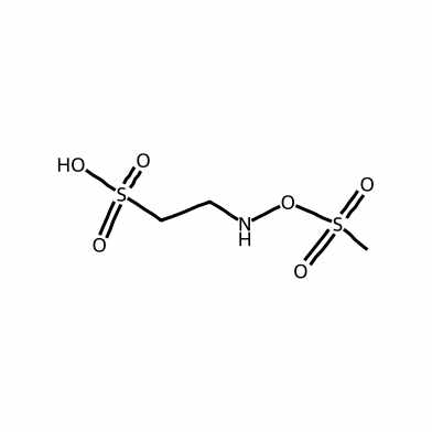 CS(=O)(=O)ONCCS(=O)(=O)O